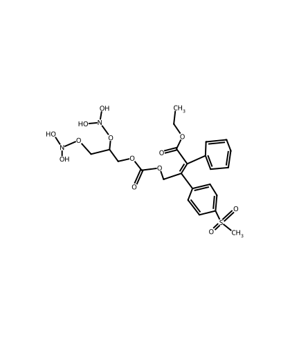 CCOC(=O)/C(=C(\COC(=O)OCC(CON(O)O)ON(O)O)c1ccc(S(C)(=O)=O)cc1)c1ccccc1